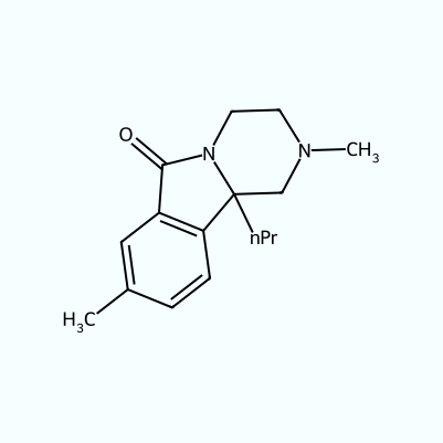 CCCC12CN(C)CCN1C(=O)c1cc(C)ccc12